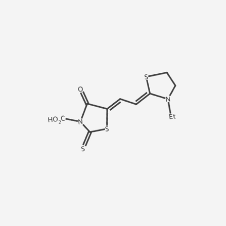 CCN1CCSC1=CC=C1SC(=S)N(C(=O)O)C1=O